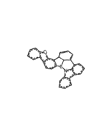 C1=CC2c3c(ccc4c3oc3ccccc34)B3C2C(=C1)c1cccc2c4ccccc4n3c12